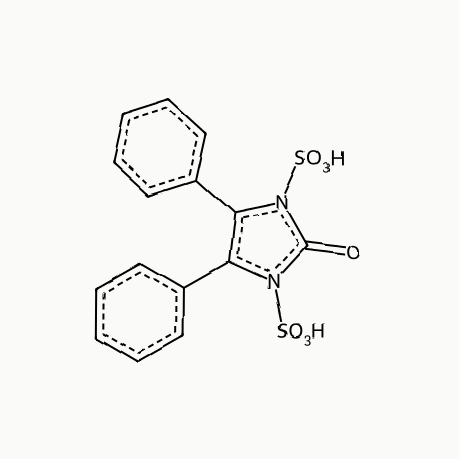 O=c1n(S(=O)(=O)O)c(-c2ccccc2)c(-c2ccccc2)n1S(=O)(=O)O